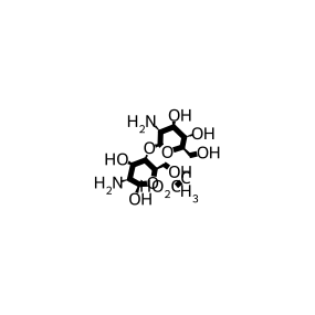 CC(=O)O.N[C@@H]1[C@@H](O)[C@H](O[C@@H]2O[C@H](CO)[C@@H](O)[C@H](O)[C@H]2N)[C@@H](CO)O[C@H]1O